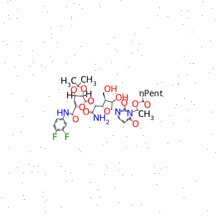 CCCCCC(=O)OC(C)n1c(=O)ccn([C@@H]2O[C@H]([C@@H](O[C@H]3OC(C(=O)Nc4ccc(F)c(F)c4)=C[C@@H]4OC(C)(C)O[C@H]34)C(N)=O)[C@@H](CO)[C@H]2O)c1=O